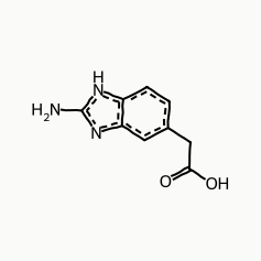 Nc1nc2cc(CC(=O)O)ccc2[nH]1